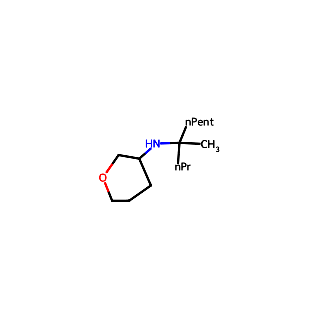 CCCCCC(C)(CCC)NC1CCCOC1